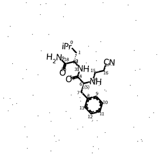 CC(C)C[C@H](NC(=O)[C@H](Cc1ccccc1)NCCC#N)C(N)=O